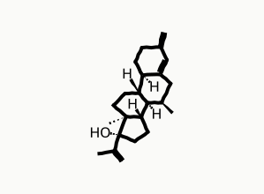 C=C1C=C2C[C@@H](C)[C@@H]3[C@H](CC[C@@]4(C)[C@H]3CC[C@@]4(O)C(=C)C)[C@H]2CC1